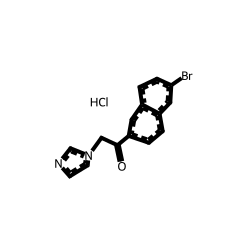 Cl.O=C(Cn1ccnc1)c1ccc2cc(Br)ccc2c1